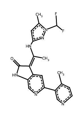 C/C(Nc1cc(C)n(C(F)F)n1)=C1/C(=O)Nc2cnc(-c3cnccc3C)cc21